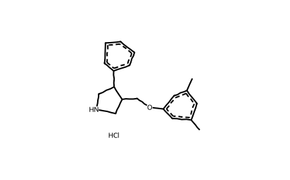 Cc1cc(C)cc(OCC2CNCC2c2ccccc2)c1.Cl